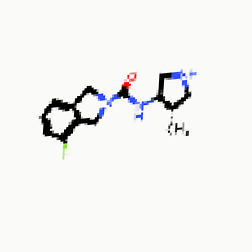 C[C@H]1CNC[C@@H]1NC(=O)N1Cc2cccc(F)c2C1